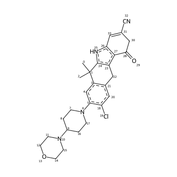 CC1(C)c2cc(N3CCC(N4CCOCC4)CC3)c(Cl)cc2Cc2c1[nH]c1c2C(=O)CC(C#N)=C1